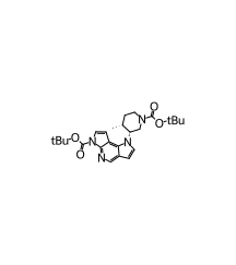 C[C@@H]1CCN(C(=O)OC(C)(C)C)C[C@@H]1n1ccc2cnc3c(ccn3C(=O)OC(C)(C)C)c21